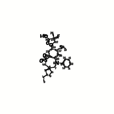 CCCC[C@]1(CC)CN(c2ccccc2)c2cc(SC)c(OC[C@@](C)(F)C(=O)O)cc2S(=O)(=O)C1